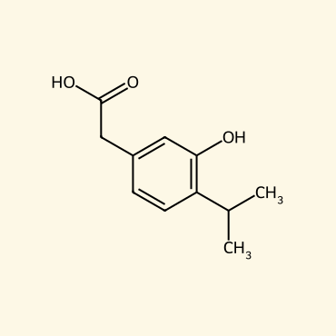 CC(C)c1ccc(CC(=O)O)cc1O